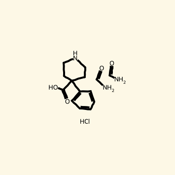 Cl.NC=O.NC=O.O=C(O)C1(c2ccccc2)CCNCC1